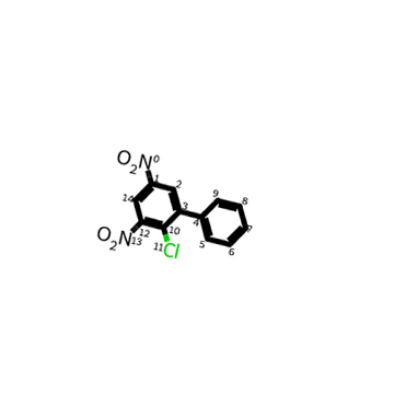 O=[N+]([O-])c1cc(-c2ccccc2)c(Cl)c([N+](=O)[O-])c1